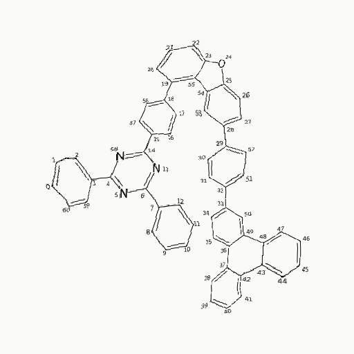 c1ccc(-c2nc(-c3ccccc3)nc(-c3ccc(-c4cccc5oc6ccc(-c7ccc(-c8ccc9c%10ccccc%10c%10ccccc%10c9c8)cc7)cc6c45)cc3)n2)cc1